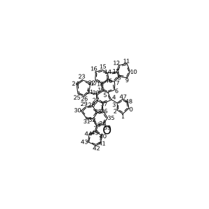 c1ccc(-c2c3cc4c5ccccc5c5cccc(c3c(-c3ccccc3)c3c6cccc7c8c(cc(c23)c67)oc2ccccc28)c54)cc1